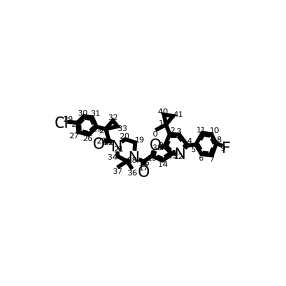 CC1(c2cc(-c3ccc(F)cc3)nc3cc(C(=O)N4CCN(C(=O)C5(c6ccc(Cl)cc6)CC5)CC4(C)C)oc23)CC1